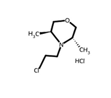 C[C@H]1COC[C@H](C)N1CCCl.Cl